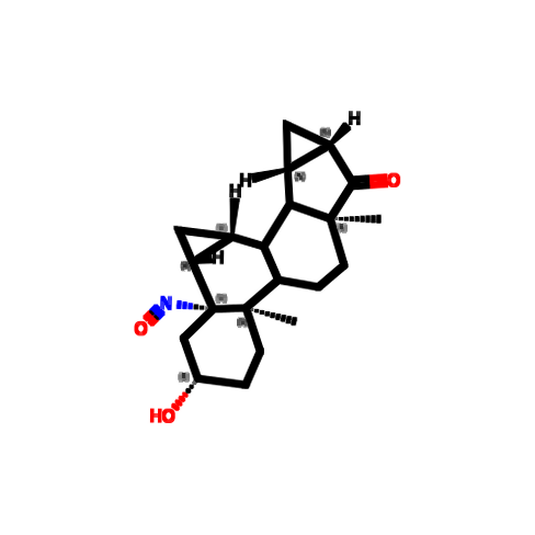 C[C@]12CCC3C(C1[C@@H]1C[C@@H]1C2=O)[C@H]1C[C@H]1[C@]1(N=O)C[C@@H](O)CC[C@]31C